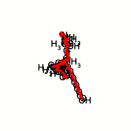 Cc1cc(N(C)c2nc(C(=O)O)c(CCCOc3ccc(C#CCN(C)C(=O)OCc4ccc(NC(=O)[C@H](CCCNC(N)=O)NC(=O)[C@@H](NC(=O)CCOCCN5C(=O)C=CC5=O)C(C)C)cc4COCc4cn(CCOCCOCCOCCOCCOCCOCCOCCOCCC(=O)O)nn4)cc3F)s2)nnc1Nc1nc2ccccc2s1